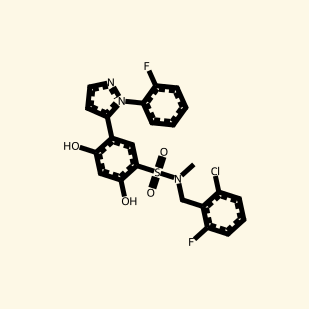 CN(Cc1c(F)cccc1Cl)S(=O)(=O)c1cc(-c2ccnn2-c2ccccc2F)c(O)cc1O